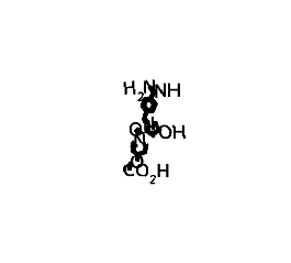 N=C(N)c1ccc(CN2C[C@H](O)C[C@@H]2C(=O)N2CCC(OCC(=O)O)CC2)cc1